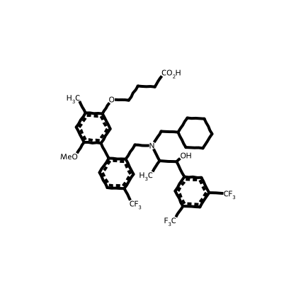 COc1cc(C)c(OCCCC(=O)O)cc1-c1ccc(C(F)(F)F)cc1CN(CC1CCCCC1)C(C)C(O)c1cc(C(F)(F)F)cc(C(F)(F)F)c1